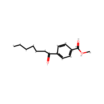 CCCCCCC(=O)c1ccc(C(=O)OC)cc1